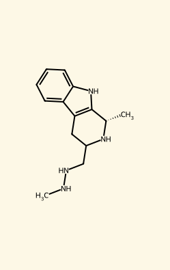 CNNCC1Cc2c([nH]c3ccccc23)[C@H](C)N1